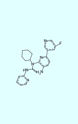 C=C(Nc1ccccn1)N(c1nc(-c2cncc(F)c2)ccc1N)C1CCCCC1